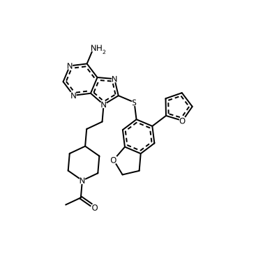 CC(=O)N1CCC(CCn2c(Sc3cc4c(cc3-c3ccco3)CCO4)nc3c(N)ncnc32)CC1